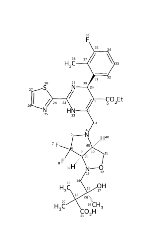 CCOC(=O)C1=C(CN2CC(F)(F)[C@H]3[C@@H]2CON3C[C@@](C)(O)C(C)(C)C(=O)O)NC(c2nccs2)=N[C@H]1c1cccc(F)c1C